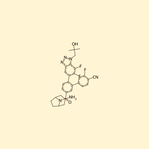 CC(C)(O)Cn1nnc2cc(-c3ccc(C(=O)N4C5CCC4CC(N)C5)cc3-c3ccc(C#N)c(F)c3)c(F)c(F)c21